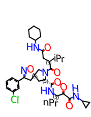 CCC[C@H](NC(=O)[C@@H]1C[C@]2(CC(c3cccc(Cl)c3)=NO2)CN1C(=O)[C@@H](CC(=O)NC1CCCCC1)C(C)C)C(=O)C(=O)NC1CC1